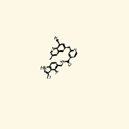 Cc1cnc2c(C#N)cc(Cc3cc(C(=O)NCc4ccc5[nH]cc(Cl)c5c4F)ccn3)cc2c1